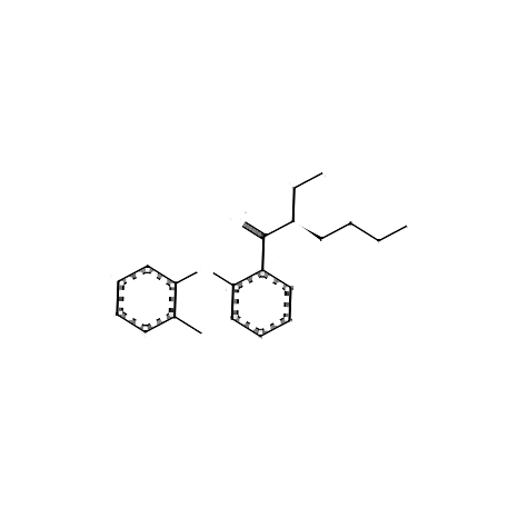 CCCC[C@H](CC)C(=O)c1ccccc1Oc1ccccc1C